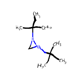 CC(C)(C)N1CN1C(C)(C)C